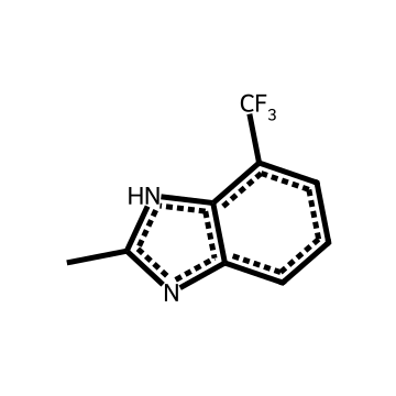 Cc1nc2cccc(C(F)(F)F)c2[nH]1